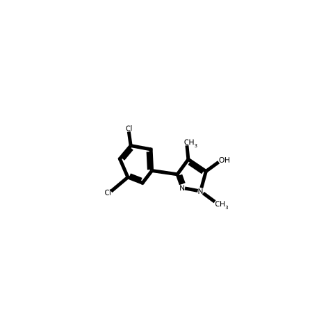 Cc1c(-c2cc(Cl)cc(Cl)c2)nn(C)c1O